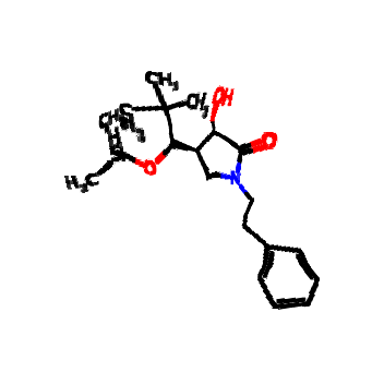 C[SiH](C)OC([C@@H]1CN(CCc2ccccc2)C(=O)[C@@H]1O)C(C)(C)C